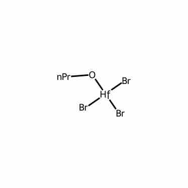 CCC[O][Hf]([Br])([Br])[Br]